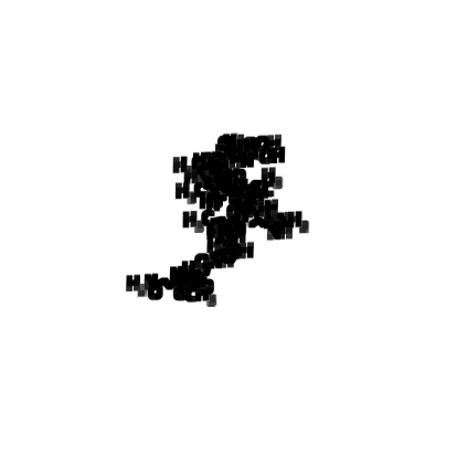 CC(C)C[C@H](NC(=O)[C@H](CO)NC(=O)CNC(=O)CNC(=O)[C@H](C)NC(=O)[C@@H](N)CCC(N)=O)C(=O)N[C@@H](CCCNC(=N)N)C(=O)N[C@@H](CC(C)C)C(=O)N[C@@H](CO)C(=O)N[C@@H](CS)C(=O)N[C@@H](C)C(=O)N[C@@H](C)C(=O)N[C@@H](CO)C(=O)NCC(=O)N[C@@H](CO)C(=O)O